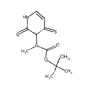 CN(C(=O)OC(C)(C)C)C1C(=O)NC=CC1=S